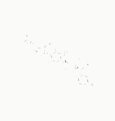 C[C@]1(CNC(O)=S)CN(c2ccc(N3CCN(C(=O)c4cccc(Cl)c4)CC3)c(F)c2)C(=O)O1